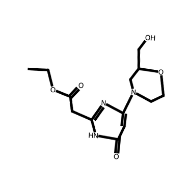 CCOC(=O)Cc1nc(N2CCOC(CO)C2)cc(=O)[nH]1